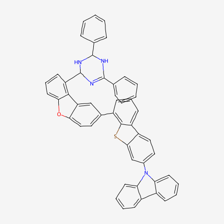 c1ccc(C2=NC(c3cccc4oc5ccc(-c6cccc7c6sc6cc(-n8c9ccccc9c9ccccc98)ccc67)cc5c34)NC(c3ccccc3)N2)cc1